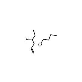 C=C[C@@H](OCCCC)[C@H](F)CC